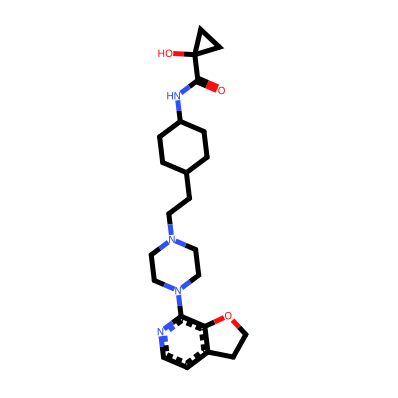 O=C(NC1CCC(CCN2CCN(c3nccc4c3OCC4)CC2)CC1)C1(O)CC1